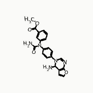 COC(=O)c1cccc(N(C(N)=O)c2ccc(N3C=Nc4occc4C3N)cc2)c1